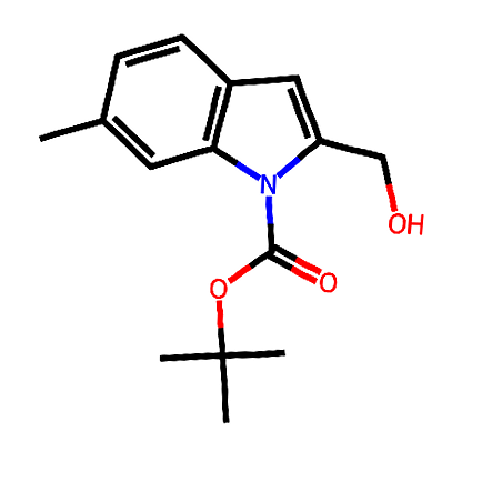 Cc1ccc2cc(CO)n(C(=O)OC(C)(C)C)c2c1